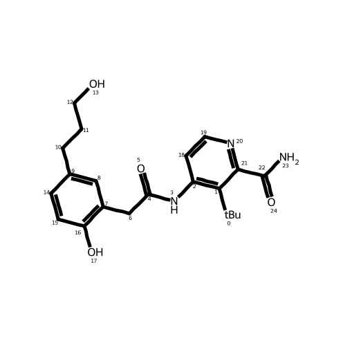 CC(C)(C)c1c(NC(=O)Cc2cc(CCCO)ccc2O)ccnc1C(N)=O